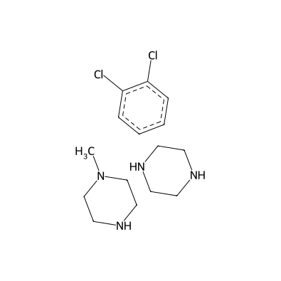 C1CNCCN1.CN1CCNCC1.Clc1ccccc1Cl